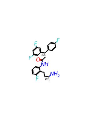 C[C@@H](N)CCc1c(F)cccc1NC(=O)C[C@@H](c1ccc(F)cc1)c1cc(F)cc(F)c1